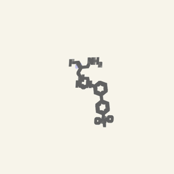 CS(=O)(=O)c1ccc(-c2cccc(N3C=NN(C/C(=C\F)CN)C3)c2)cc1